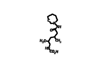 CC(CNC(=O)O)CC(C)CC(=O)NN1CCCCCC1